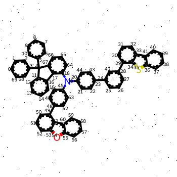 c1ccc(C2(c3ccccc3)c3ccccc3-c3c(N(c4ccc(-c5cccc(-c6cccc7c6sc6ccccc67)c5)cc4)c4ccc(-c5cccc6oc7ccccc7c56)cc4)cccc32)cc1